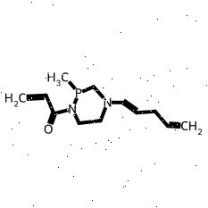 C=CC/C=C/N1CCN(C(=O)C=C)P(C)C1